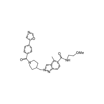 COCCNC(=O)c1ccc2nn(CC3CCN(C(=O)c4ccc(-c5cnco5)cc4)CC3)cc2c1C